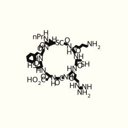 CCCNC(=O)C12C[C@@H]1SCC(=O)N[C@@H](CCCCN)C(=O)NC(CS)C(=O)N[C@@H](CCCNC(=N)N)C(=O)NCC(=O)N[C@@H](CC(=O)O)C(=O)NC(CS)C(=O)N[C@@H](Cc1ccccc1)C(=O)N2